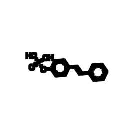 O=P(O)(O)Oc1ccc(C=Cc2ccccc2)cc1